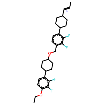 C/C=C/C1CCC(c2ccc(COC3CCC(c4ccc(OCC)c(F)c4F)CC3)c(F)c2F)CC1